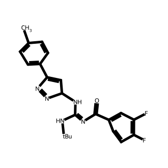 Cc1ccc(C2=CC(N/C(=N\C(=O)c3ccc(F)c(F)c3)NC(C)(C)C)N=N2)cc1